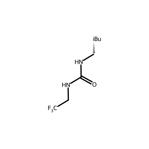 CC[C@@H](C)CNC(=O)NCC(F)(F)F